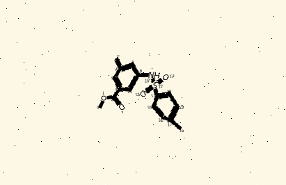 COC(=O)c1cc(C)cc(NS(=O)(=O)c2ccc(C)cc2)c1